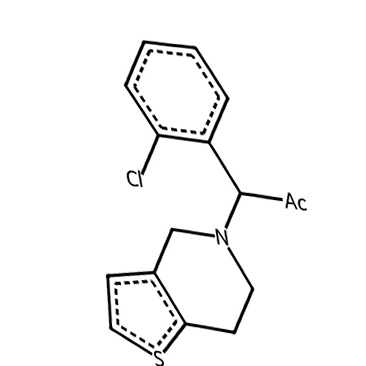 CC(=O)C(c1ccccc1Cl)N1CCc2sccc2C1